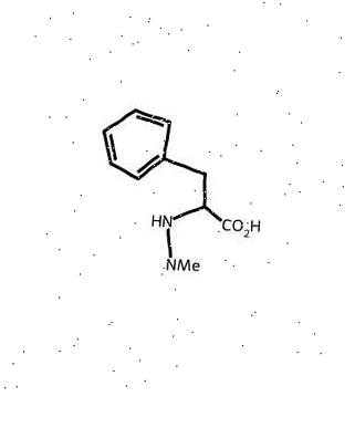 CNNC(Cc1ccccc1)C(=O)O